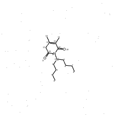 CCCCN(CCCC)N1C(=O)CC(C)=C(C)C1=O